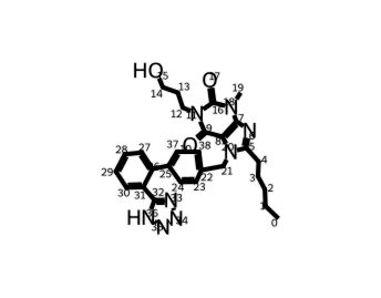 CCCCCc1nc2c(c(=O)n(CCCO)c(=O)n2C)n1Cc1ccc(-c2ccccc2-c2nnn[nH]2)cc1